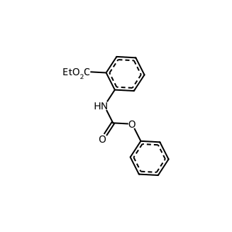 CCOC(=O)c1ccccc1NC(=O)Oc1ccccc1